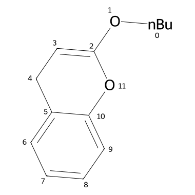 CCCCOC1=CCc2ccccc2O1